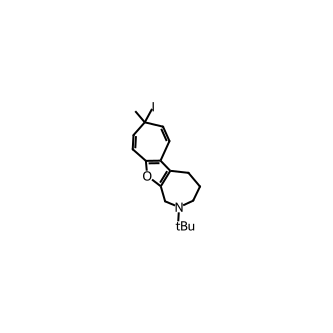 CC1(I)C=Cc2oc3c(c2C=C1)CCCN(C(C)(C)C)C3